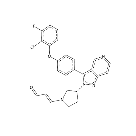 O=CC=CN1CC[C@@H](n2nc3ccncc3c2-c2ccc(Oc3cccc(F)c3Cl)cc2)C1